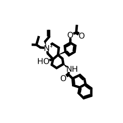 C=CC[N@@+]1(CC(C)C)CC[C@]2(c3cccc(OC(C)=O)c3)C[C@@H](NC(=O)c3ccc4ccccc4c3)CCC2(O)C1